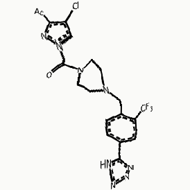 CC(=O)c1nn(C(=O)N2CCN(Cc3ccc(-c4nnn[nH]4)cc3C(F)(F)F)CC2)cc1Cl